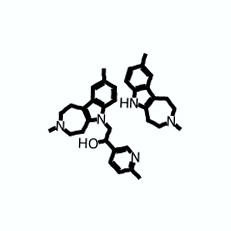 Cc1ccc2[nH]c3c(c2c1)CCN(C)CC3.Cc1ccc2c(c1)c1c(n2CC(O)c2ccc(C)nc2)CCN(C)CC1